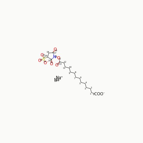 O=C([O-])CCCCCCCCCCCCC(=O)ON1C(=O)CC(S(=O)(=O)[O-])C1=O.[Na+].[Na+]